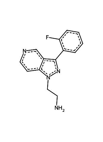 NCCn1nc(-c2ccccc2F)c2cnccc21